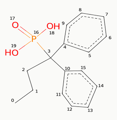 CCCC(c1ccccc1)(c1ccccc1)P(=O)(O)O